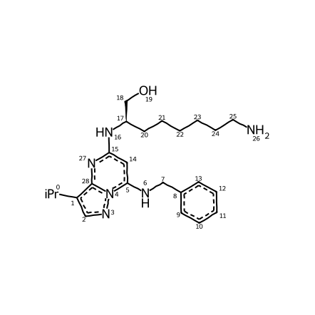 CC(C)c1cnn2c(NCc3ccccc3)cc(N[C@@H](CO)CCCCCCN)nc12